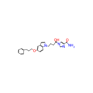 NC(=O)c1cn([C@H](O)CCCn2ccc3cc(OCCCc4ccccc4)ccc32)cn1